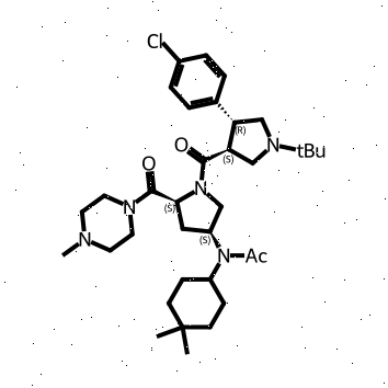 CC(=O)N(C1CCC(C)(C)CC1)[C@H]1C[C@@H](C(=O)N2CCN(C)CC2)N(C(=O)[C@@H]2CN(C(C)(C)C)C[C@H]2c2ccc(Cl)cc2)C1